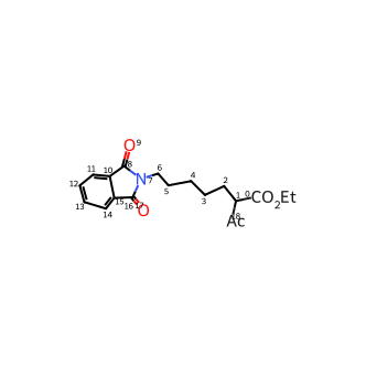 CCOC(=O)C(CCCCCN1C(=O)c2ccccc2C1=O)C(C)=O